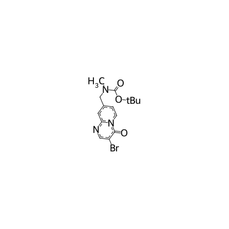 CN(Cc1ccn2c(=O)c(Br)cnc2c1)C(=O)OC(C)(C)C